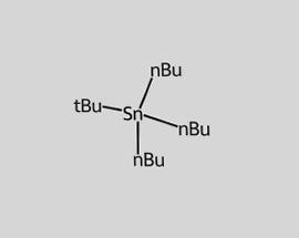 CCC[CH2][Sn]([CH2]CCC)([CH2]CCC)[C](C)(C)C